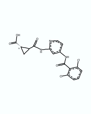 O=C(Nc1ccnc(NC(=O)C2C[C@@H]2C(=O)O)c1)c1c(Cl)cccc1Cl